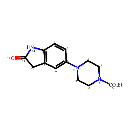 CCOC(=O)N1CCN(c2ccc3c(c2)CC(=O)N3)CC1